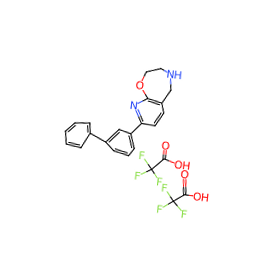 O=C(O)C(F)(F)F.O=C(O)C(F)(F)F.c1ccc(-c2cccc(-c3ccc4c(n3)OCCNC4)c2)cc1